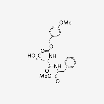 COC(=O)[C@H](Cc1ccccc1)NC(=O)[C@H](CC(=O)O)NC(=O)OCc1ccc(OC)cc1